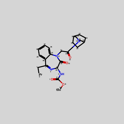 CC(C)CC1=N[C@H](NC(=O)OC(C)(C)C)C(=O)N(CC(=O)N2CC3CCC(CC3)C2)c2ccccc21